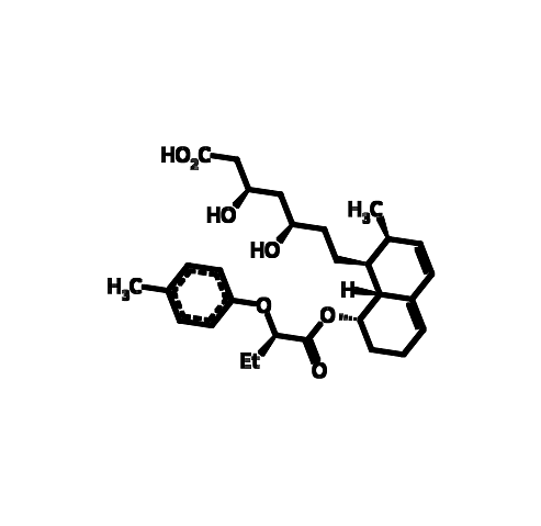 CC[C@@H](Oc1ccc(C)cc1)C(=O)O[C@H]1CCC=C2C=C[C@H](C)[C@H](CC[C@@H](O)C[C@@H](O)CC(=O)O)[C@H]21